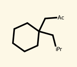 CC(=O)CC1(CC(C)C)CCCCC1